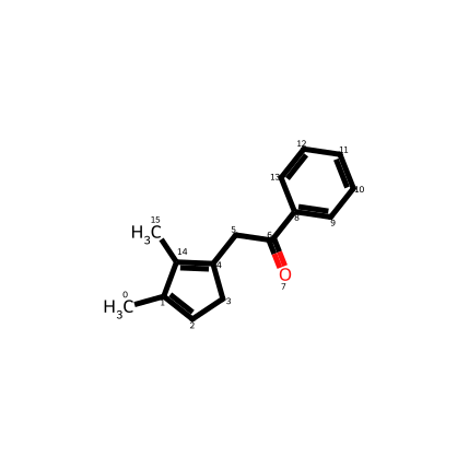 CC1=CCC(CC(=O)c2ccccc2)=C1C